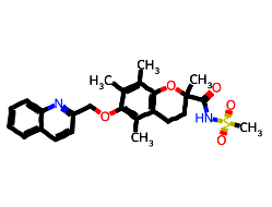 Cc1c(C)c2c(c(C)c1OCc1ccc3ccccc3n1)CCC(C)(C(=O)NS(C)(=O)=O)O2